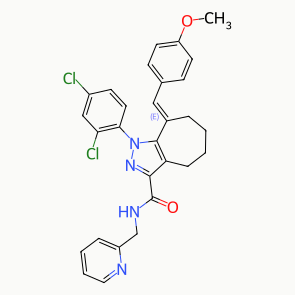 COc1ccc(/C=C2\CCCCc3c(C(=O)NCc4ccccn4)nn(-c4ccc(Cl)cc4Cl)c32)cc1